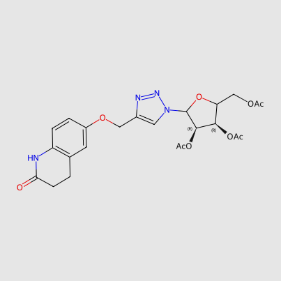 CC(=O)OCC1OC(n2cc(COc3ccc4c(c3)CCC(=O)N4)nn2)[C@H](OC(C)=O)[C@@H]1OC(C)=O